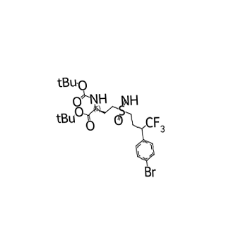 CC(C)(C)OC(=O)N[C@@H](CCS(=N)(=O)CCC(c1ccc(Br)cc1)C(F)(F)F)C(=O)OC(C)(C)C